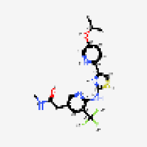 CNC(=O)Cc1cnc(Nc2nc(-c3ccc(OC(C)C)cn3)cs2)c(C(F)(F)F)c1